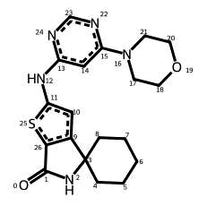 O=C1NC2(CCCCC2)c2cc(Nc3cc(N4CCOCC4)ncn3)sc21